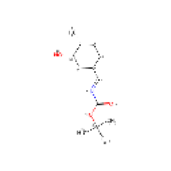 C[C@@H]1CCC(/C=N/C(=O)OC(C)(C)C)CC1O